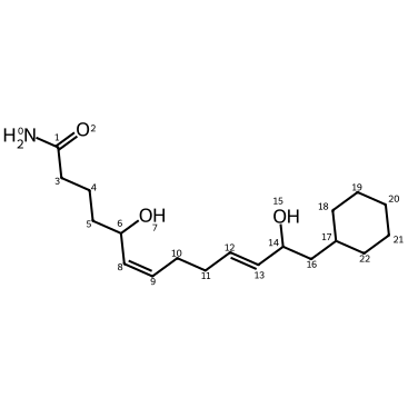 NC(=O)CCCC(O)/C=C\CC/C=C/C(O)CC1CCCCC1